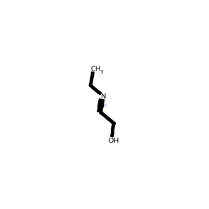 CC/N=C/CO